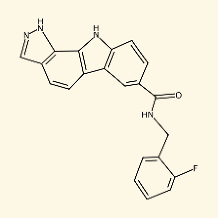 O=C(NCc1ccccc1F)c1ccc2[nH]c3c(ccc4cn[nH]c43)c2c1